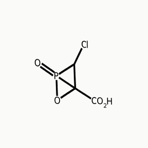 O=C(O)C12OP1(=O)C2Cl